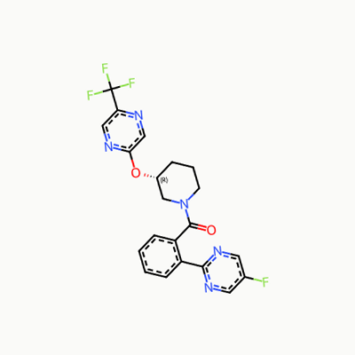 O=C(c1ccccc1-c1ncc(F)cn1)N1CCC[C@@H](Oc2cnc(C(F)(F)F)cn2)C1